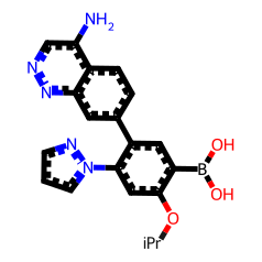 CC(C)Oc1cc(-n2cccn2)c(-c2ccc3c(N)cnnc3c2)cc1B(O)O